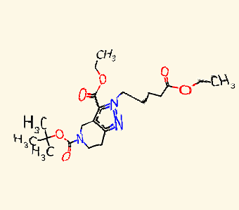 CCOC(=O)CCCCn1nc2c(c1C(=O)OCC)CN(C(=O)OC(C)(C)C)CC2